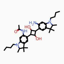 CCCCN1c2cc(N)c(C3C(O)C(c4cc5c(cc4NC(C)=O)N(CCCC)C(C)C5(C)C)C3O)cc2C(C)(C)C1C